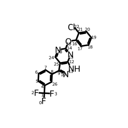 FC(F)(F)c1cccc(-c2n[nH]c3nc(Oc4ccccc4Cl)ncc23)c1